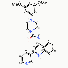 COc1cc(OC)cc(N2CCN(C(=O)Nc3cc(-c4cccnc4)nc4ccccc34)CC2)c1